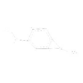 CON1c2ccc(OC(F)(F)F)cc21